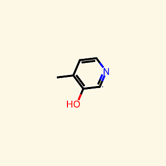 Cc1ccn[c]c1O